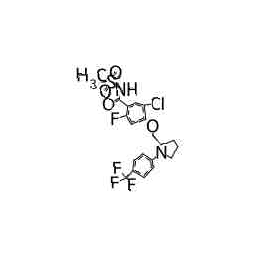 CS(=O)(=O)NC(=O)c1cc(Cl)c(OC[C@H]2CCCN2c2ccc(C(F)(F)F)cc2)cc1F